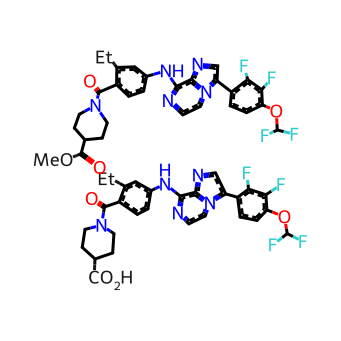 CCc1cc(Nc2nccn3c(-c4ccc(OC(F)F)c(F)c4F)cnc23)ccc1C(=O)N1CCC(C(=O)O)CC1.CCc1cc(Nc2nccn3c(-c4ccc(OC(F)F)c(F)c4F)cnc23)ccc1C(=O)N1CCC(C(=O)OC)CC1